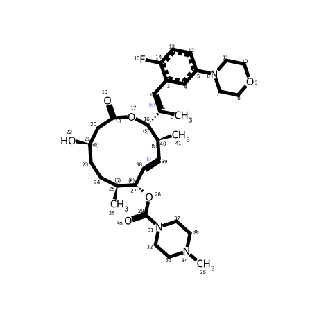 C/C(=C\c1cc(N2CCOCC2)ccc1F)[C@H]1OC(=O)C[C@H](O)CC[C@H](C)[C@@H](OC(=O)N2CCN(C)CC2)/C=C/[C@@H]1C